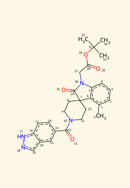 Cc1cccc2c1C1(CCN(C(=O)c3ccc4[nH]ncc4c3)CC1)C(=O)N2CC(=O)OC(C)(C)C